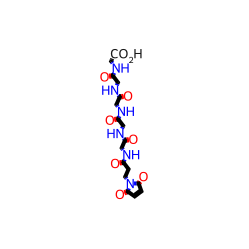 O=C(O)CNC(=O)CNC(=O)CNC(=O)CNC(=O)CNC(=O)CCN1C(=O)C=CC1=O